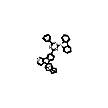 c1ccc(-c2nc(-c3ccc4c(c3)-c3cnccc3C43C4CC5CC6CC3C5C6C4)nc(-n3c4ccccc4c4ccccc43)n2)cc1